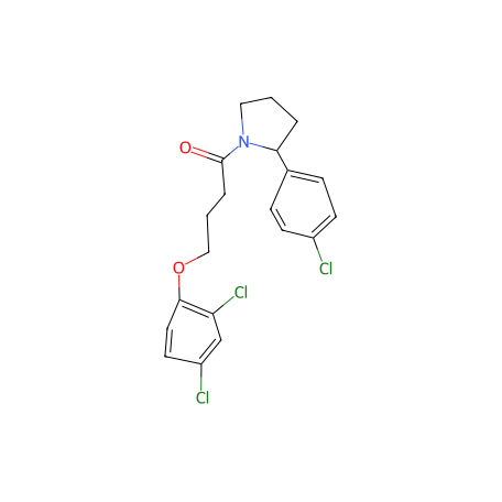 O=C(CCCOc1ccc(Cl)cc1Cl)N1CCCC1c1ccc(Cl)cc1